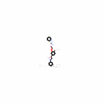 COc1ccc(C2CC(c3cc(OC)c(OC)c(OC)c3)=NO2)cc1OCC(=O)Nc1nc2cc(Cl)ccc2s1